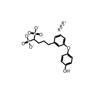 O=P([O-])([O-])C(CCCc1cccc(Oc2ccc(O)cc2)c1)S(=O)(=O)[O-].[K+].[K+].[K+]